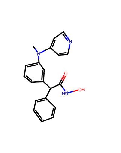 CN(c1ccncc1)c1cccc(C(C(=O)NO)c2ccccc2)c1